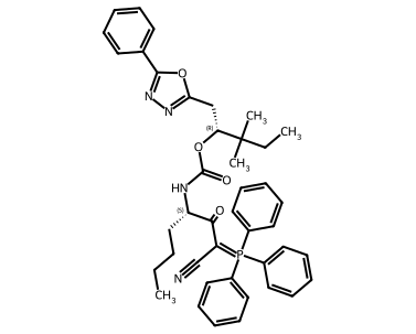 CCCC[C@H](NC(=O)O[C@H](Cc1nnc(-c2ccccc2)o1)C(C)(C)CC)C(=O)C(C#N)=P(c1ccccc1)(c1ccccc1)c1ccccc1